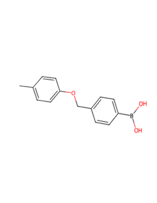 Cc1ccc(OCc2ccc(B(O)O)cc2)cc1